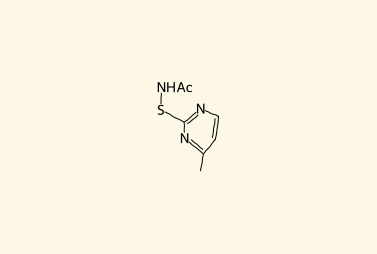 CC(=O)NSc1nccc(C)n1